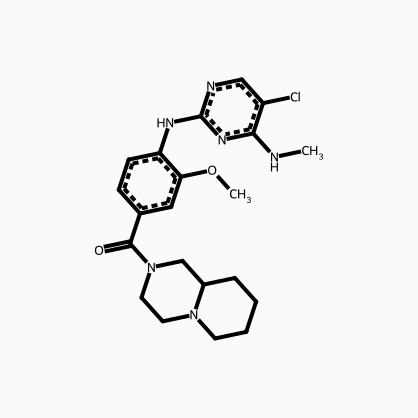 CNc1nc(Nc2ccc(C(=O)N3CCN4CCCCC4C3)cc2OC)ncc1Cl